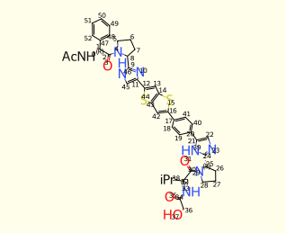 CC(=O)N[C@@H](C(=O)N1CCCC1c1nc(-c2cc3sc(-c4ccc(-c5cnc([C@@H]6CCCN6C(=O)[C@@H](NC(=O)CO)C(C)C)[nH]5)cc4)cc3s2)c[nH]1)c1ccccc1